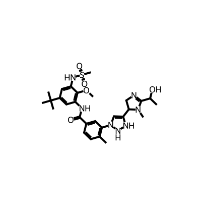 COc1c(NC(=O)c2ccc(C)c(N3C=C(C4CN=C(C(C)O)N4C)NN3)c2)cc(C(C)(C)C)cc1NS(C)(=O)=O